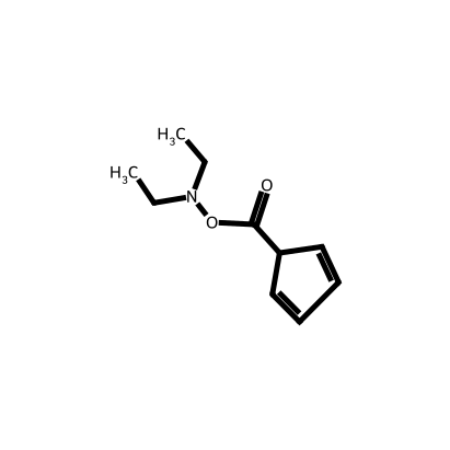 CCN(CC)OC(=O)C1C=CC=C1